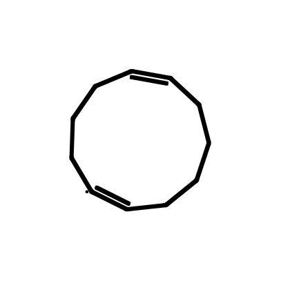 [C]1=CCCCCC=CCCC1